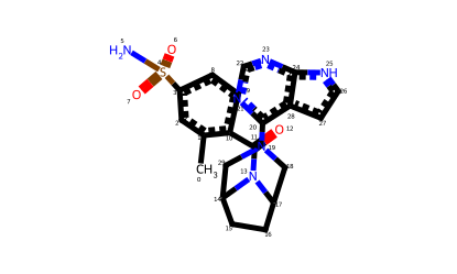 Cc1cc(S(N)(=O)=O)ccc1C(=O)N1C2CCC1CN(c1ncnc3[nH]ccc13)C2